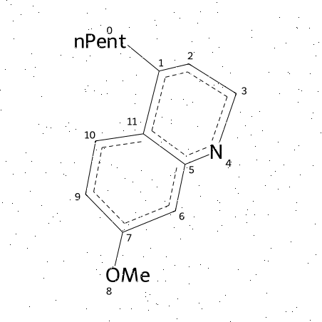 CCCCCc1ccnc2cc(OC)ccc12